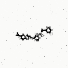 O=C(Nc1cc(NCc2cn3cc(C4CC4)ccc3n2)ncn1)[C@@H]1CC1c1cc(Cl)ccn1